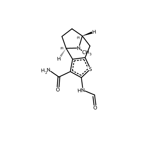 CN1[C@@H]2CC[C@@H]1c1c(sc(NC=O)c1C(N)=O)C2